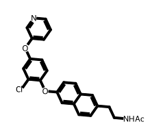 CC(=O)NCCc1ccc2cc(Oc3ccc(Oc4cccnc4)cc3Cl)ccc2c1